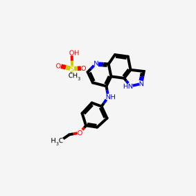 CCOc1ccc(Nc2ccnc3ccc4cn[nH]c4c23)cc1.CS(=O)(=O)O